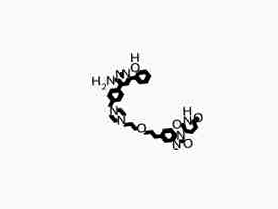 Cn1c(=O)n(C2CCC(=O)NC2=O)c2ccc(CCCOCCCN3CCN(Cc4ccc(-c5cc(-c6ccccc6O)nnc5N)cc4)CC3)cc21